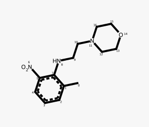 Cc1cccc([N+](=O)[O-])c1NCCN1CCOCC1